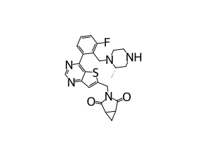 C[C@H]1CNCCN1Cc1c(F)cccc1-c1ncnc2cc(CN3C(=O)C4CC4C3=O)sc12